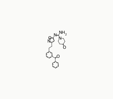 NC(=Nc1cc(CCc2cccc(C(=O)c3ccccc3)c2)no1)N1CCC(=O)CC1